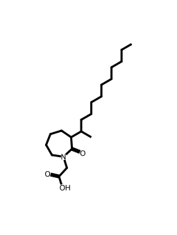 CCCCCCCCCCC(C)C1CCCCN(CC(=O)O)C1=O